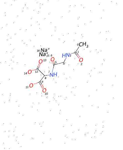 CC(=O)NCC(=O)NC(C(=O)[O-])C(=O)[O-].[Na+].[Na+]